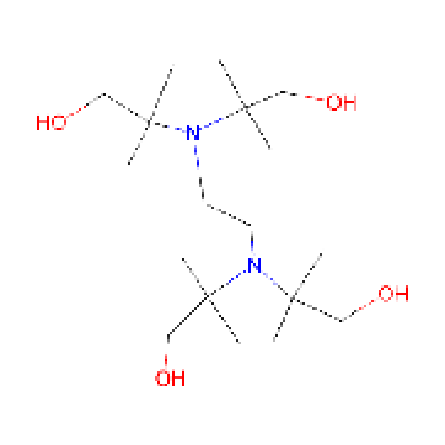 CC(C)(CO)N(CCN(C(C)(C)CO)C(C)(C)CO)C(C)(C)CO